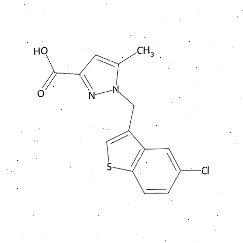 Cc1cc(C(=O)O)nn1Cc1csc2ccc(Cl)cc12